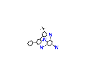 CC(C)(C)c1ccc2c(c1)c1cc(-c3ccccc3)ccc1n2-c1c(C#N)cc(C#N)cc1C#N